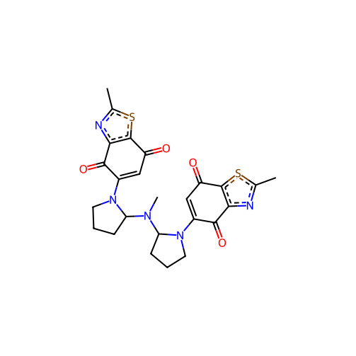 Cc1nc2c(s1)C(=O)C=C(N1CCCC1N(C)C1CCCN1C1=CC(=O)c3sc(C)nc3C1=O)C2=O